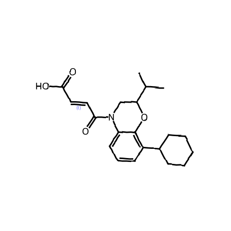 CC(C)C1CN(C(=O)/C=C/C(=O)O)c2cccc(C3CCCCC3)c2O1